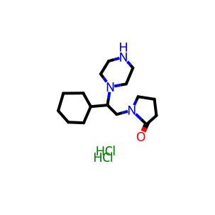 Cl.Cl.O=C1CCCN1CC(C1CCCCC1)N1CCNCC1